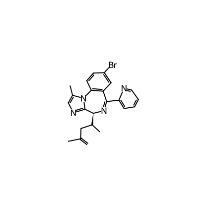 C=C(C)CC(C)[C@@H]1N=C(c2ccccn2)c2cc(Br)ccc2-n2c(C)cnc21